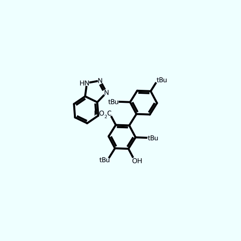 CC(C)(C)c1ccc(-c2c(C(=O)O)cc(C(C)(C)C)c(O)c2C(C)(C)C)c(C(C)(C)C)c1.c1ccc2[nH]nnc2c1